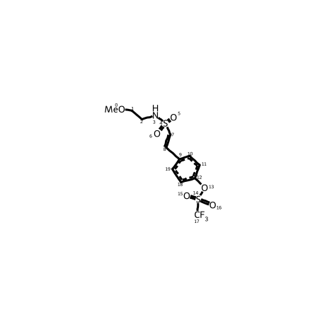 COCCNS(=O)(=O)/C=C/c1ccc(OS(=O)(=O)C(F)(F)F)cc1